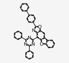 c1ccc(-c2ccc(-c3nc4c(-c5nc(-c6ccccc6)nc(-c6ccccc6)n5)c5oc6ccccc6c5cc4o3)cc2)cc1